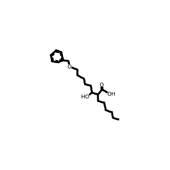 CCCCCCC(C(=O)O)C(O)CCCCCOCc1ccccc1